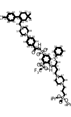 CC(C)OP(=O)(CCCN1CCN(CCC(CSc2ccccc2)Nc2ccc(S(=O)(=O)NC(=O)c3ccc(N4CCN(CC5=C(c6ccc(Cl)cc6)CCC(C)(C)C5)CC4)cc3)cc2S(=O)(=O)C(F)(F)F)CC1)OC(C)C